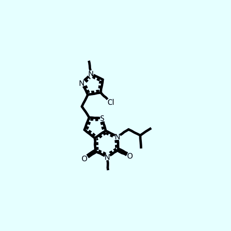 CC(C)Cn1c(=O)n(C)c(=O)c2cc(Cc3nn(C)cc3Cl)sc21